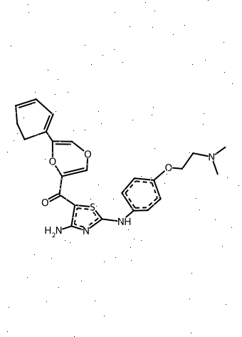 CN(C)CCOc1ccc(Nc2nc(N)c(C(=O)C3=COC=C(C4=CC=CCC4)O3)s2)cc1